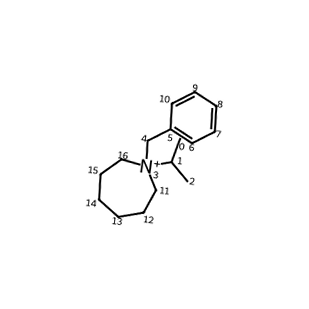 CC(C)[N+]1(Cc2ccccc2)CCCCCC1